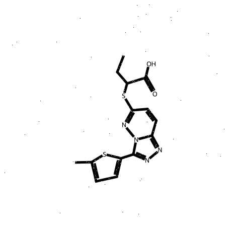 CCC(Sc1ccc2nnc(-c3ccc(C)s3)n2n1)C(=O)O